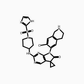 O=C1N(c2cc3c(cc2Cl)CNCC3)c2nc(NC3CCN(S(=O)(=O)c4ncc[nH]4)CC3)ncc2C12CC2